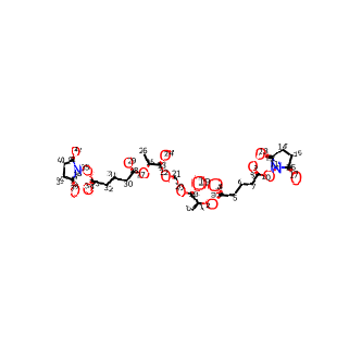 CC(OC(=O)CCCC(=O)ON1C(=O)CCC1=O)C(=O)OCOC(=O)C(C)OC(=O)CCCC(=O)ON1C(=O)CCC1=O